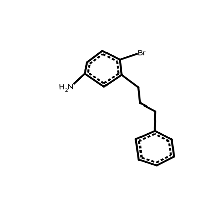 Nc1ccc(Br)c(CCCc2ccccc2)c1